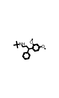 COc1ccc(C(CCNC(C)(C)C)c2ccccc2)c(OC)c1